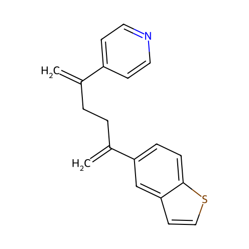 C=C(CCC(=C)c1ccc2sccc2c1)c1ccncc1